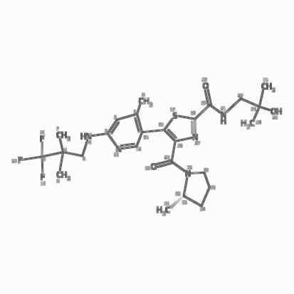 Cc1cc(NCC(C)(C)C(F)(F)F)ncc1-c1sc(C(=O)NCC(C)(C)O)nc1C(=O)N1CCC[C@@H]1C